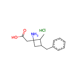 CC1C(Cc2ccccc2)CC1(N)CC(=O)O.Cl